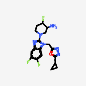 NC1CN(c2nc3cc(F)c(F)cc3n2Cc2nnc(C3CC3)o2)CCC1F